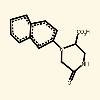 O=C1CN(c2ccc3ccccc3c2)C(C(=O)O)CN1